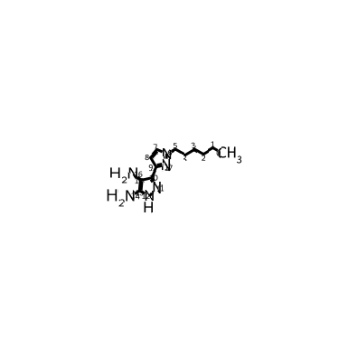 CCCCCCn1ccc(-c2n[nH]c(N)c2N)n1